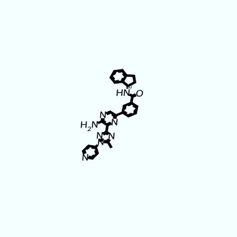 Cc1nc(-c2nc(-c3cccc(C(=O)N[C@H]4CCc5ccccc54)c3)cnc2N)nn1-c1ccncc1